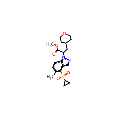 COC(=O)C(CC1CCOCC1)n1ncc2c(S(=O)(=O)C3CC3)c(C)ccc21